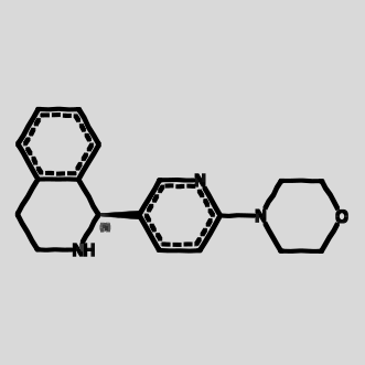 c1ccc2c(c1)CCN[C@@H]2c1ccc(N2CCOCC2)nc1